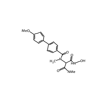 CNC(=O)C(C(=O)NO)N(C)C(=O)c1ccc(-c2ccc(OC)cc2)cc1